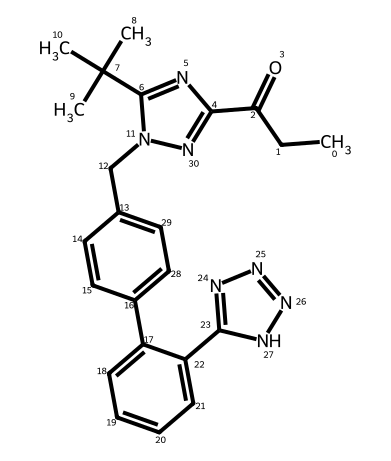 CCC(=O)c1nc(C(C)(C)C)n(Cc2ccc(-c3ccccc3-c3nnn[nH]3)cc2)n1